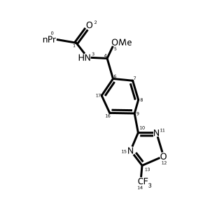 CCCC(=O)NC(OC)c1ccc(-c2noc(C(F)(F)F)n2)cc1